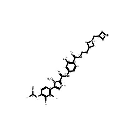 Cn1c(-c2ccc(OC(F)F)c(F)c2F)cnc1C(=O)Nc1ccc(C(=O)NCCC2CN(CC3CNC3)C2)c(Cl)c1